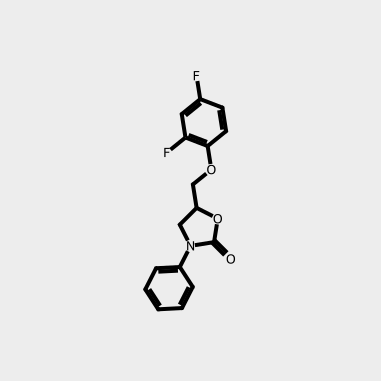 O=C1OC(COc2ccc(F)cc2F)CN1c1ccccc1